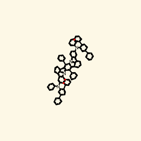 c1ccc(-c2ccc(-c3ccccc3)c(N(c3ccccc3)c3ccc4c(c3)c3cccc5c6c(-c7ccccc7)c7c(c(-c8ccccc8)c6n4c35)c3cccc4c5cc(N(c6ccccc6)c6cc(-c8ccccc8)ccc6-c6ccccc6)ccc5n7c43)c2)cc1